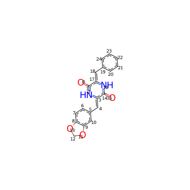 O=c1[nH]/c(=C\c2ccc3c(c2)OCO3)c(=O)[nH]/c1=C\c1ccccc1